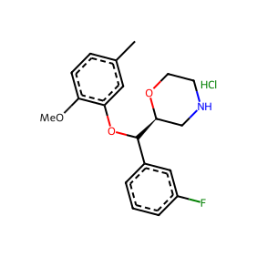 COc1ccc(C)cc1OC(c1cccc(F)c1)[C@@H]1CNCCO1.Cl